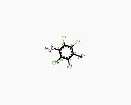 Cc1c(F)c(F)c(C(C)C)c(Cl)c1Cl